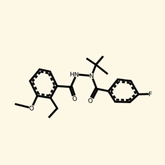 CCc1c(OC)cccc1C(=O)NN(C(=O)c1ccc(F)cc1)C(C)(C)C